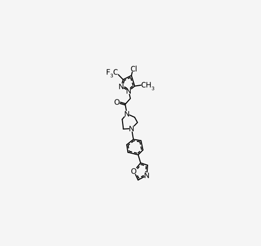 Cc1c(Cl)c(C(F)(F)F)nn1CC(=O)N1CCN(c2ccc(-c3cnco3)cc2)CC1